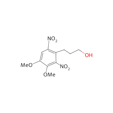 COc1cc([N+](=O)[O-])c(CCCO)c([N+](=O)[O-])c1OC